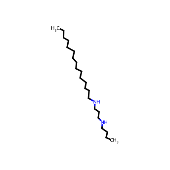 CCCCCCCCCCCCCCCNCCCNCCCC